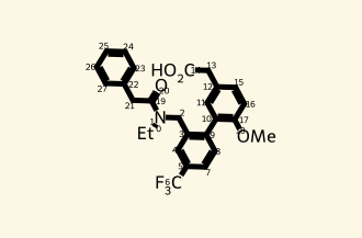 CCN(Cc1cc(C(F)(F)F)ccc1-c1cc(CC(=O)O)ccc1OC)C(=O)Cc1ccccc1